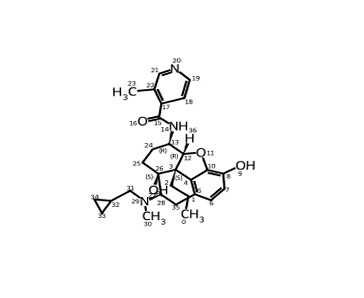 CCC[C@]12c3c4ccc(O)c3O[C@H]1[C@H](NC(=O)c1ccncc1C)CC[C@@]2(O)[C@H](N(C)CC1CC1)C4